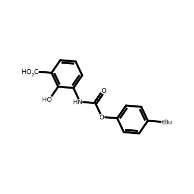 CC(C)(C)c1ccc(OC(=O)Nc2cccc(C(=O)O)c2O)cc1